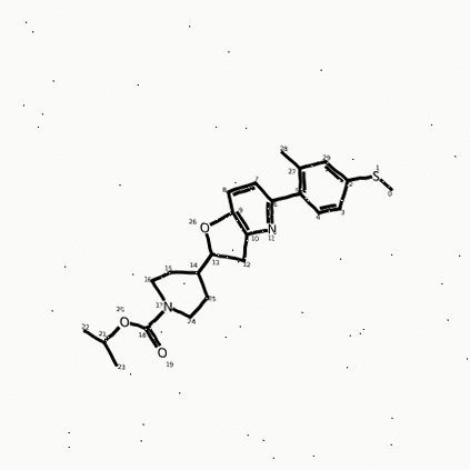 CSc1ccc(-c2ccc3c(n2)CC(C2CCN(C(=O)OC(C)C)CC2)O3)c(C)c1